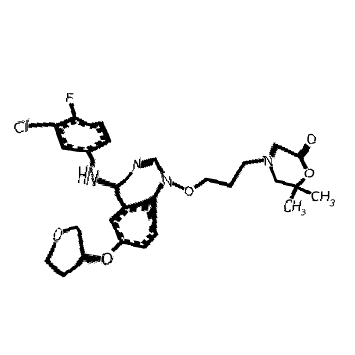 CC1(C)CN(CCCON2C=NC(Nc3ccc(F)c(Cl)c3)c3cc(OC4CCOC4)ccc32)CC(=O)O1